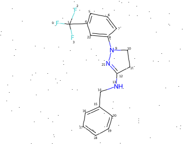 FC(F)(F)c1cccc(N2CCC(NCc3ccccc3)=N2)c1